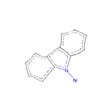 [N]n1c2ccccc2c2ccccc21